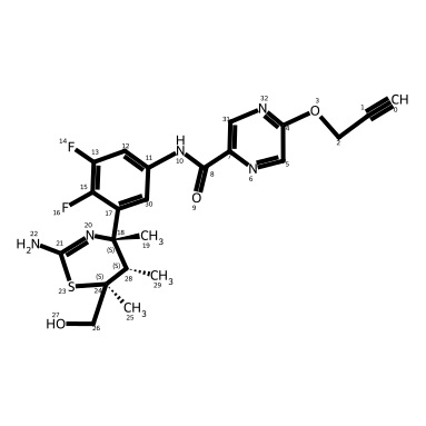 C#CCOc1cnc(C(=O)Nc2cc(F)c(F)c([C@@]3(C)N=C(N)S[C@](C)(CO)[C@H]3C)c2)cn1